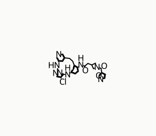 O=C(CC1CN(C(=O)c2ccno2)C1)Nc1ccc2cc1CCc1cncc(c1)Nc1ncc(Cl)c(n1)N2